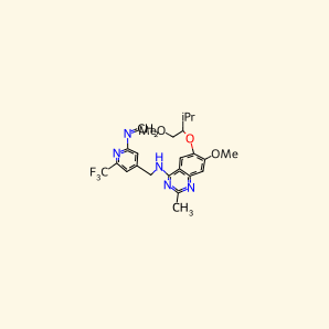 C=Nc1cc(CNc2nc(C)nc3cc(OC)c(OC(COC)C(C)C)cc23)cc(C(F)(F)F)n1